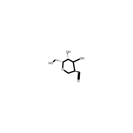 O=C[C@H]1CO[C@H](CO)[C@H](O)C1O